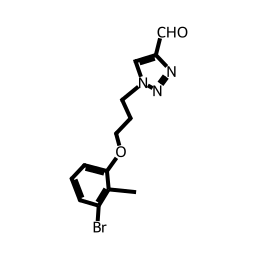 Cc1c(Br)cccc1OCCCn1cc(C=O)nn1